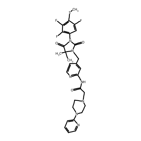 CSc1c(F)cc(N2C(=O)N(Cc3ccnc(NC(=O)CN4CCN(c5ccccn5)CC4)c3)C(C)(C)C2=O)c(F)c1F